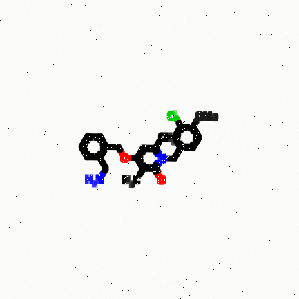 COc1ccc(Cn2c(C)cc(OCc3ccccc3CN)c(C)c2=O)cc1Cl